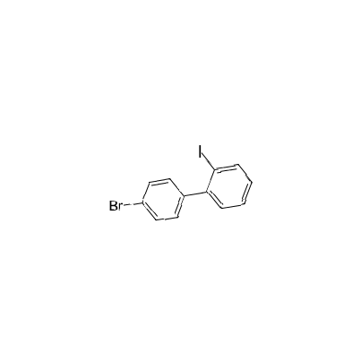 Brc1ccc(-c2ccccc2I)cc1